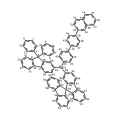 c1ccc(C2(c3ccccc3)c3ccccc3-c3ccc(N(c4ccc(-c5ccc(-c6ccc7ccccc7c6)cc5)cc4)c4ccc5c(c4)C4(c6ccccc6-c6ccccc64)c4ccccc4-5)cc32)cc1